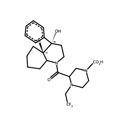 O=C(O)N1CCN(CC(F)(F)F)C(C(=O)N2CC[C@](O)(c3ccccc3)[C@H]3CCCCC32)C1